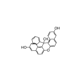 CC1(c2ccccc2)c2c(ccc3cc(O)ccc23)Oc2ccc3cc(O)ccc3c21